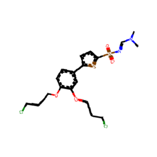 CN(C)/C=N/S(=O)(=O)c1ccc(-c2ccc(OCCCCl)c(OCCCCl)c2)s1